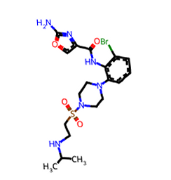 CC(C)NCCS(=O)(=O)N1CCN(c2cccc(Br)c2NC(=O)c2coc(N)n2)CC1